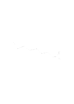 NCCCCCCOP(=O)=O